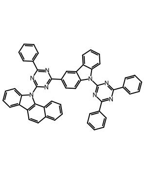 c1ccc(-c2nc(-c3ccccc3)nc(-n3c4ccccc4c4cc(-c5nc(-c6ccccc6)nc(-n6c7ccccc7c7ccc8ccccc8c76)n5)ccc43)n2)cc1